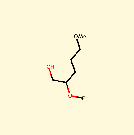 CCOC(CO)CCCOC